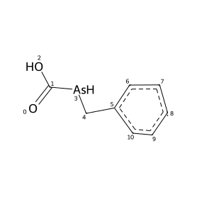 O=C(O)[AsH]Cc1cc[c]cc1